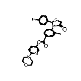 Cc1cc(C(=O)Oc2ccc(N3CCOCC3)nc2)ccc1N1C(=O)CSC1c1ccc(F)cc1